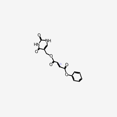 O=C(/C=C/C(=O)Oc1ccccc1)OCc1c[nH]c(=O)[nH]c1=O